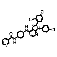 O=C(NC1CCC(Nc2ncnc3c2nc(-c2ccc(Cl)cc2Cl)n3-c2ccc(Cl)cc2)CC1)c1cccnc1